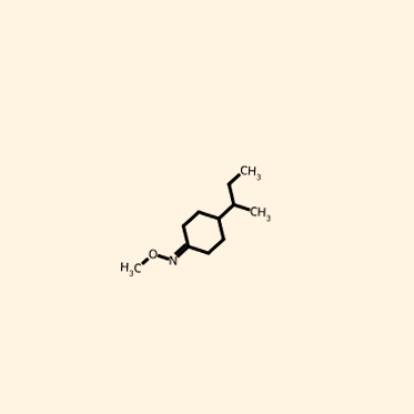 CCC(C)C1CCC(=NOC)CC1